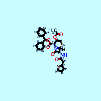 CC(=O)OC1CS[C@@H]2[C@H](NC(=O)Cc3cccs3)C(=O)N2[C@H]1C(=O)OC(c1ccccc1)c1ccccc1